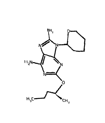 Bc1nc2c(N)nc(O[C@@H](C)CCC)nc2n1C1CCCCO1